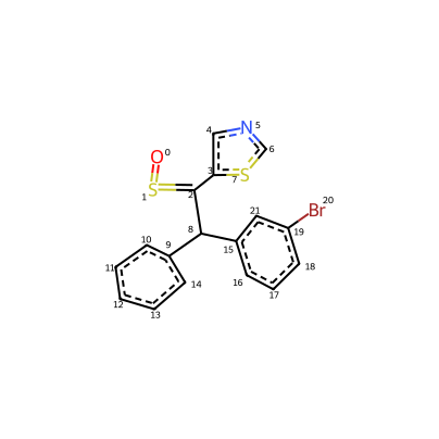 O=S=C(c1cncs1)C(c1ccccc1)c1cccc(Br)c1